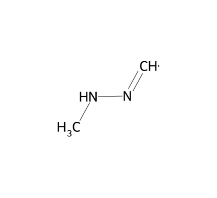 [CH]=NNC